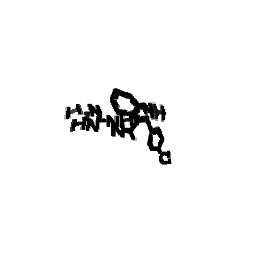 C/C(=N/NC(=N)N)c1c(-c2ccc(Cl)cc2)[nH]c2ccccc12